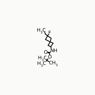 CCC1(F)CC2(CC(NC(=O)OC(C)(C)C)C2)C1